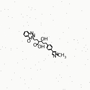 Cn1cc(-c2ccc(CCC(O)C(CCn3nnc4ccccc4c3=O)C(=O)O)cc2)cn1